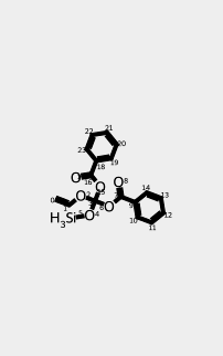 C=COC(O[SiH3])(OC(=O)c1ccccc1)OC(=O)c1ccccc1